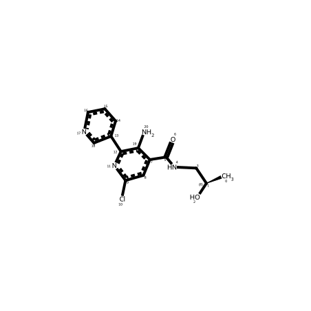 C[C@@H](O)CNC(=O)c1cc(Cl)nc(-c2cccnc2)c1N